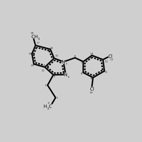 CCCc1nn(Cc2cc(Cl)cc(Cl)c2)c2cc(C)ccc12